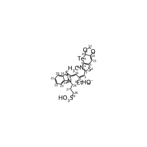 CCC(=Cc1sc2c([n+]1C)[Te]C1OCOC1=C2)C=C1Sc2ccccc2N1CCCS(=O)(=O)O.[OH-]